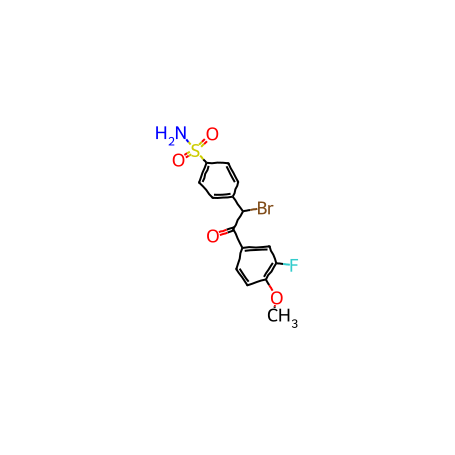 COc1ccc(C(=O)C(Br)c2ccc(S(N)(=O)=O)cc2)cc1F